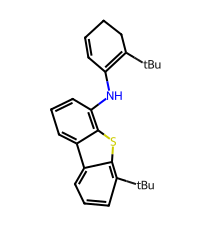 CC(C)(C)C1=C(Nc2cccc3c2sc2c(C(C)(C)C)cccc23)C=CCC1